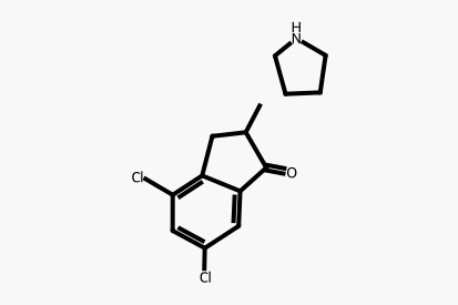 C1CCNC1.CC1Cc2c(Cl)cc(Cl)cc2C1=O